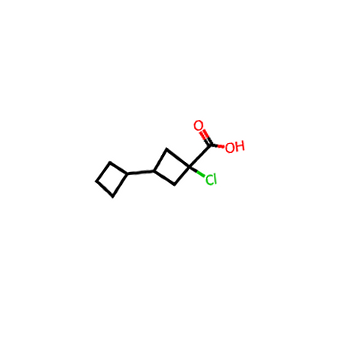 O=C(O)C1(Cl)CC(C2CCC2)C1